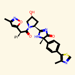 Cc1cc([C@@H](C(=O)N2C[C@H](O)C[C@H]2C2=NC(=O)[C@](C)(c3ccc(-c4scnc4C)cc3)N2)C(C)C)on1